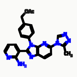 CC(=O)OCc1ccc(-n2c(-c3cccnc3N)nc3ccc(-n4cnnc4C)nc32)cc1